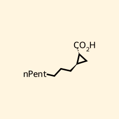 CCCCCCCC[C@@H]1C[C@H]1C(=O)O